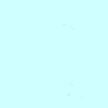 Cn1ncc(C(=O)c2ccc(-n3cncn3)cc2C(F)(F)F)c1OC(=O)C(C)(C)C